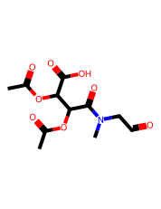 CC(=O)OC(C(=O)O)C(OC(C)=O)C(=O)N(C)CC=O